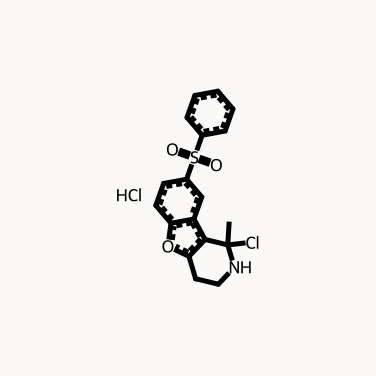 CC1(Cl)NCCc2oc3ccc(S(=O)(=O)c4ccccc4)cc3c21.Cl